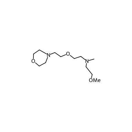 COCCN(C)CCOCCN1CCOCC1